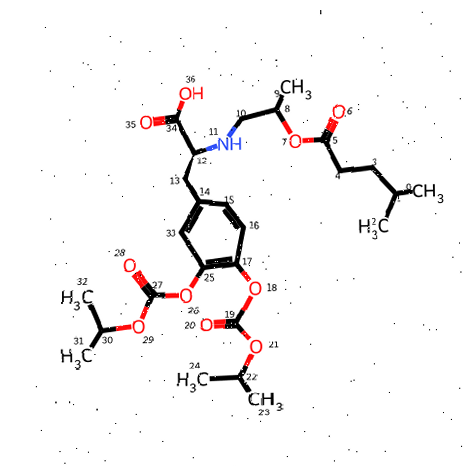 CC(C)CCC(=O)OC(C)CN[C@@H](Cc1ccc(OC(=O)OC(C)C)c(OC(=O)OC(C)C)c1)C(=O)O